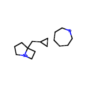 C1CCC[N]CC1.C1C[N+]2CCC2(CC2CC2)C1